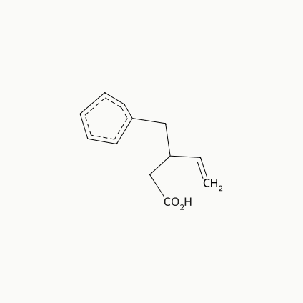 C=CC(CC(=O)O)Cc1ccccc1